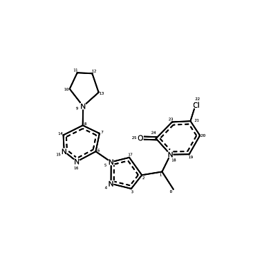 CC(c1cnn(-c2cc(N3CCCC3)cnn2)c1)n1ccc(Cl)cc1=O